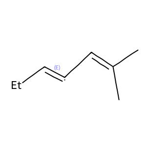 CC/C=[C]/C=C(C)C